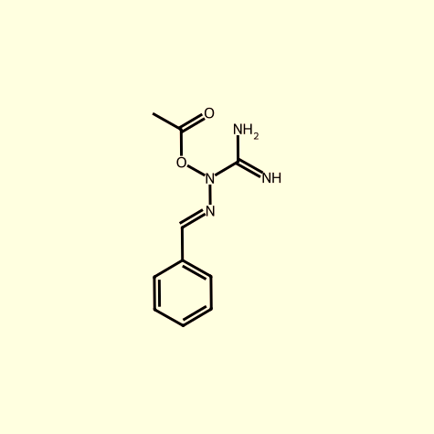 CC(=O)ON(N=Cc1ccccc1)C(=N)N